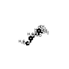 CCc1c(OC)c(OC)cc2[nH]c(N(C)Cc3cccc(CN4CCC(OC)C4)c3)nc(=O)c12